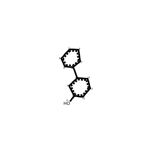 Oc1[c]c(-c2[c]cccc2)ccc1